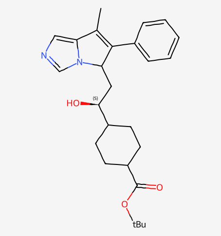 CC1=C(c2ccccc2)C(C[C@H](O)C2CCC(C(=O)OC(C)(C)C)CC2)n2cncc21